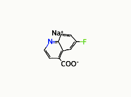 O=C([O-])c1ccnc2ccc(F)cc12.[Na+]